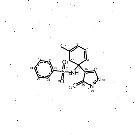 CC1=CC=CC(NS(=O)(=O)c2ccccc2)(C2=CN=NC2=O)C1